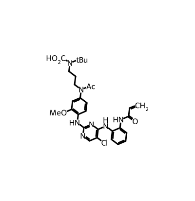 C=CC(=O)Nc1ccccc1Nc1nc(Nc2ccc(N(CCCN(C(=O)O)C(C)(C)C)C(C)=O)cc2OC)ncc1Cl